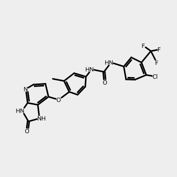 Cc1cc(NC(=O)Nc2ccc(Cl)c(C(F)(F)F)c2)ccc1Oc1ccnc2[nH]c(=O)[nH]c12